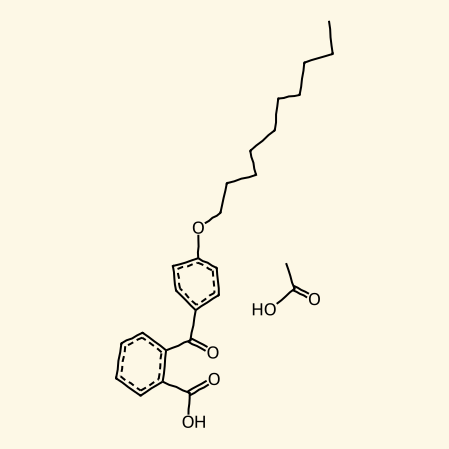 CC(=O)O.CCCCCCCCCCOc1ccc(C(=O)c2ccccc2C(=O)O)cc1